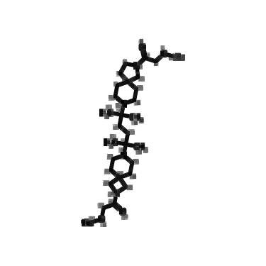 CC(C)(C)OCC(=O)N1CCC2(CCN(C(C)(C)CCC(C)(C)N3CCC4(CC3)CN(C(=O)COC(C)(C)C)C4)CC2)C1